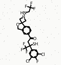 O=C(CC(S)(c1cc(Cl)c(F)c(Cl)c1)C(F)(F)F)c1ccc2c(c1)COC21CN(NCC(F)(F)F)C1